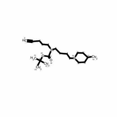 C#CCCCN(CCCCN1CCC(C)CC1)C(=O)OC(C)(C)C